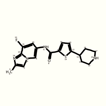 Cc1cn2cc(NC(=O)c3ccc(C4CCNCC4)s3)cc(F)c2n1